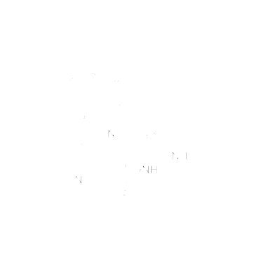 CC(C)NC(=S)NS(=O)(=O)c1cnccc1NC1CCCCCC1